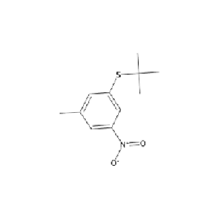 Cc1cc(SC(C)(C)C)cc([N+](=O)[O-])c1